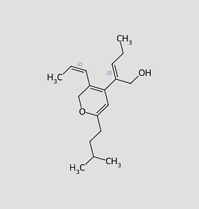 C/C=C\C1=C(C(=C/CC)/CO)C=C(CCC(C)C)OC1